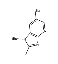 Cc1nc2ncc(C(C)(C)C)cc2n1C(C)(C)C